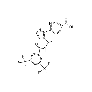 CC(NC(=O)c1cc(C(F)(F)F)cc(C(F)(F)F)c1)c1ncnn1-c1ccc(C(=O)O)cn1